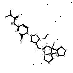 CC[C@H]1O[C@@H](n2ccc(NC(=O)C(C)C)nc2=O)CC1O[P@@]1O[C@](C)(C2CCCC2)[C@@H]2CCCN21